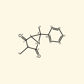 CC1C(=O)C2N(C1=O)C2(C)c1ccccc1